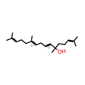 CC(C)=CCC/C(C)=C/C/C=C/C(C)(O)CCC=C(C)C